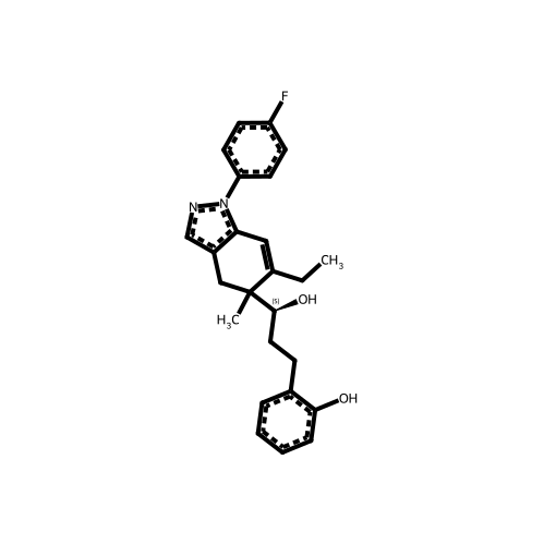 CCC1=Cc2c(cnn2-c2ccc(F)cc2)CC1(C)[C@@H](O)CCc1ccccc1O